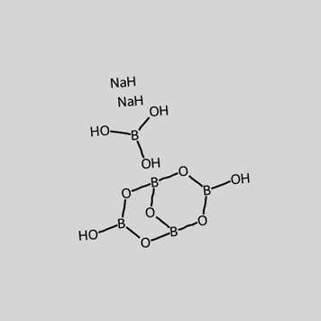 OB(O)O.OB1OB2OB(O)OB(O1)O2.[NaH].[NaH]